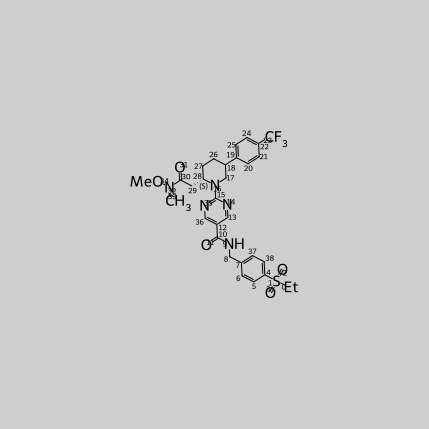 CCS(=O)(=O)c1ccc(CNC(=O)c2cnc(N3CC(c4ccc(C(F)(F)F)cc4)CC[C@H]3CC(=O)N(C)OC)nc2)cc1